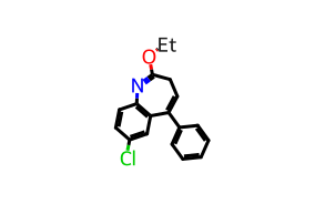 CCOC1=Nc2ccc(Cl)cc2C(c2ccccc2)=CC1